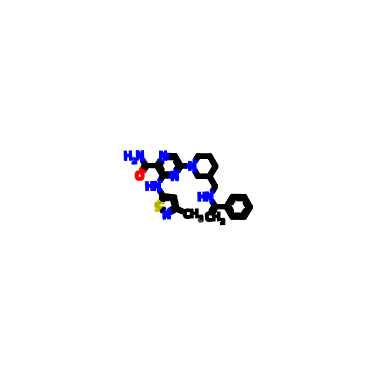 C=C(NCC1CCCN(c2cnc(C(N)=O)c(Nc3cc(C)ns3)n2)C1)c1ccccc1